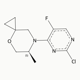 C[C@H]1COC2(CC2)CN1c1nc(Cl)ncc1F